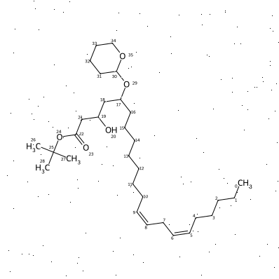 CCCCC/C=C\C/C=C\CCCCCCCC(CC(O)CC(=O)OC(C)(C)C)OC1CCCCO1